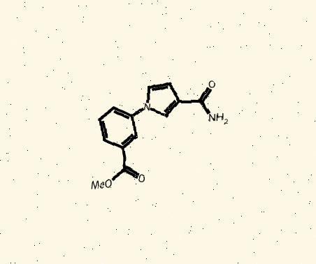 COC(=O)c1cccc(-n2ccc(C(N)=O)c2)c1